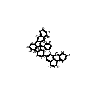 c1ccc(C2(c3cccc(-c4cc5c6c(cccc6c4)-c4ccccc4S5)c3)c3ccccc3-c3cc4ccccc4cc32)cc1